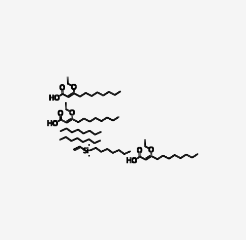 C=C[Si].CCCCCCCC.CCCCCCCC.CCCCCCCC.CCCCCCCCC(=CC(=O)O)OCC.CCCCCCCCC(=CC(=O)O)OCC.CCCCCCCCC(=CC(=O)O)OCC